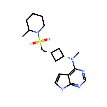 CC1CCCCN1S(=O)(=O)C[C@H]1C[C@@H](N(C)c2ncnc3[nH]ccc23)C1